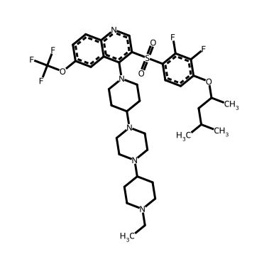 CCN1CCC(N2CCN(C3CCN(c4c(S(=O)(=O)c5ccc(OC(C)CC(C)C)c(F)c5F)cnc5ccc(OC(F)(F)F)cc45)CC3)CC2)CC1